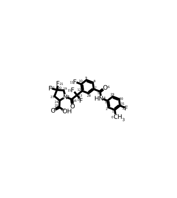 Cc1cc(NC(=O)c2ccc(F)c(C(F)(F)C(=O)N3CC(F)(F)CC3C(=O)O)c2)ccc1F